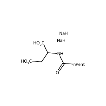 CCCCCC(=O)NC(CC(=O)O)C(=O)O.[NaH].[NaH]